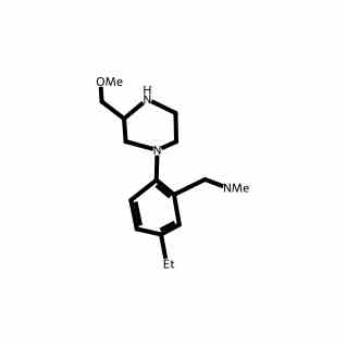 CCc1ccc(N2CCNC(COC)C2)c(CNC)c1